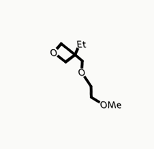 CCC1(COCCOC)COC1